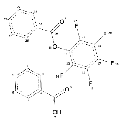 O=C(O)c1ccccc1.O=C(Oc1c(F)c(F)c(F)c(F)c1F)c1ccccc1